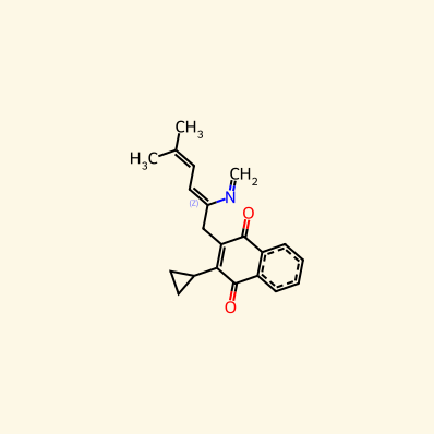 C=N/C(=C\C=C(C)C)CC1=C(C2CC2)C(=O)c2ccccc2C1=O